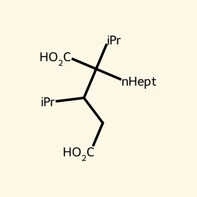 CCCCCCCC(C(=O)O)(C(C)C)C(CC(=O)O)C(C)C